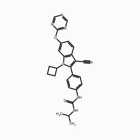 CC(C)NC(=O)Nc1ccc(-c2c(C#N)c3ccc(Oc4ncncn4)cc3n2C2CCC2)cc1